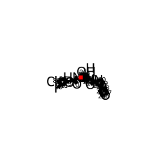 O=C(COc1ccc(Cl)c(F)c1)NC12CCC(NC(=O)C3CC(N4CCOCC4)CCN3)(CC1)CC2O